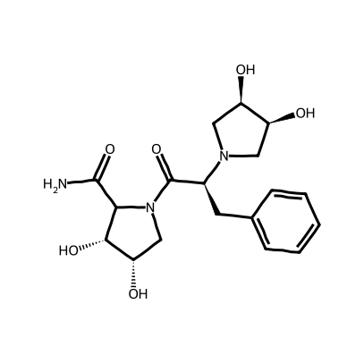 NC(=O)C1[C@@H](O)[C@@H](O)CN1C(=O)[C@H](Cc1ccccc1)N1C[C@@H](O)[C@@H](O)C1